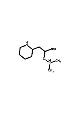 C[SiH](C)OC(CC1CCCCN1)C(C)(C)C